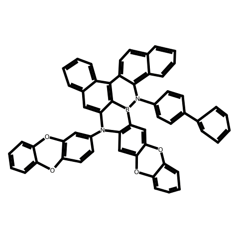 c1ccc(-c2ccc(N3B4c5cc6c(cc5N(c5ccc7c(c5)Oc5ccccc5O7)c5cc7ccccc7c(c54)-c4ccc5ccccc5c43)Oc3ccccc3O6)cc2)cc1